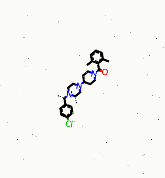 Cc1cccc(C)c1C(=O)N1CCC(N2CCN([C@@H](C)c3ccc(Cl)cc3)[C@@H](C)C2)CC1